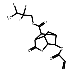 C=CC(=O)OC1C2CC3C1OC(=O)C3C2C(=O)OCC(F)(F)C(F)C(F)(F)F